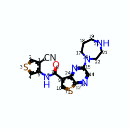 N#Cc1cscc1NC(=O)c1csc2ncc(N3CCCNCC3)nc12